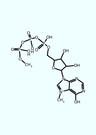 COP(=O)(O)OP(=O)(O)OP(=O)(O)OCC1OC(n2c[n+](C)c3c(O)ncnc32)C(O)C1O